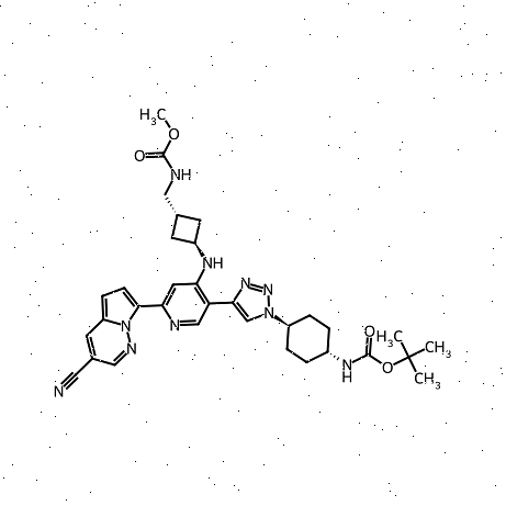 COC(=O)NC[C@H]1C[C@H](Nc2cc(-c3ccc4cc(C#N)cnn34)ncc2-c2cn([C@H]3CC[C@H](NC(=O)OC(C)(C)C)CC3)nn2)C1